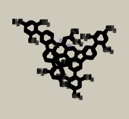 C=C(C#N)/C=C(\C(=C\n1c2ccc(-c3c(C)cc(C)cc3C)cc2c2ccc(-c3c(C)cc(C)cc3C)cc21)c1c(F)cccc1F)n1c2ccc(-c3c(C)cc(C)cc3C)cc2c2ccc(-c3c(C)cc(C)cc3C)cc21